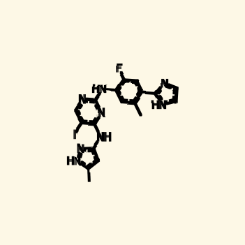 Cc1cc(Nc2nc(Nc3cc(C)c(-c4ncc[nH]4)cc3F)ncc2I)n[nH]1